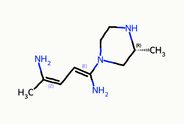 C/C(N)=C/C=C(\N)N1CCN[C@H](C)C1